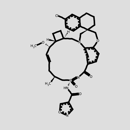 CO[C@H]1/C=C/C[C@H](C)C[S@@](=O)(NC(=O)c2cnoc2)=NC(=O)c2ccc3c(c2)N(C[C@@H]2CC[C@H]21)C[C@@]1(CCCc2cc(Cl)ccc21)CO3